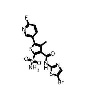 Cc1c(-c2ccc(F)nc2)sc(S(N)(=O)=O)c1C(=O)Nc1ncc(Br)s1